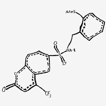 CSc1ccccc1CNS(=O)(=O)c1ccc2oc(=O)cc(C(F)(F)F)c2c1